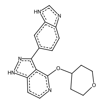 c1cc2[nH]nc(-c3ccc4nc[nH]c4c3)c2c(OC2CCOCC2)n1